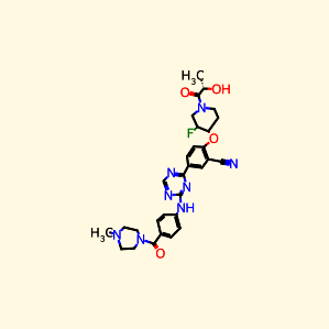 C[C@H](O)C(=O)N1CC[C@H](Oc2ccc(-c3ncnc(Nc4ccc(C(=O)N5CCN(C)CC5)cc4)n3)cc2C#N)[C@@H](F)C1